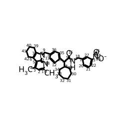 Cc1cc(C)c2c3c(n(Cc4ccc(C(C(=O)NCc5cccc([N+](=O)[O-])c5)C5CCCCCC5)cc4)c2n1)CCCC3